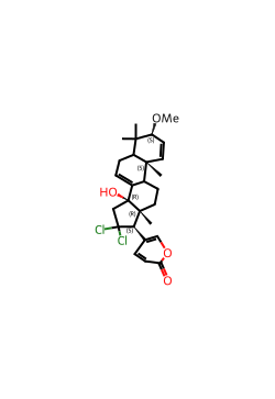 CO[C@H]1C=C[C@]2(C)C3CC[C@]4(C)[C@@H](c5ccc(=O)oc5)C(Cl)(Cl)C[C@]4(O)C3=CCC2C1(C)C